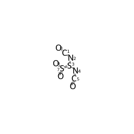 O=C=NS(N=C=O)=S(=O)=O